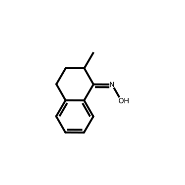 CC1CCc2ccccc2/C1=N\O